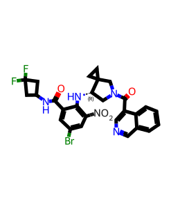 O=C(NC1CC(F)(F)C1)c1cc(Br)cc([N+](=O)[O-])c1N[C@H]1CN(C(=O)c2cncc3ccccc23)CC12CC2